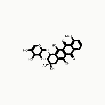 COc1cccc2c1C(=O)c1c(O)c3c(c(O)c1C2=O)C[C@@](O)(C(C)=O)C[C@@H]3OC1OC=C(O)C(O)C1O